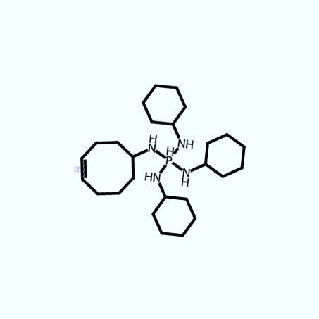 C1=C\CCC(N[PH](NC2CCCCC2)(NC2CCCCC2)NC2CCCCC2)CCC/1